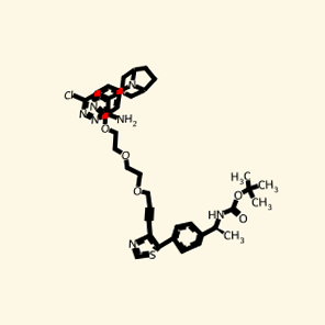 C[C@H](NC(=O)OC(C)(C)C)c1ccc(-c2scnc2C#CCOCCOCCOc2cc(N3C4CCC3CN(c3cc(Cl)nnc3N)C4)ccn2)cc1